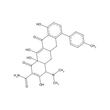 Cc1ccc(-c2ccc(O)c3c2CC2CC4C(N(C)C)C(O)=C(C(N)=O)C(=O)C4(O)C(O)=C2C3=O)cc1